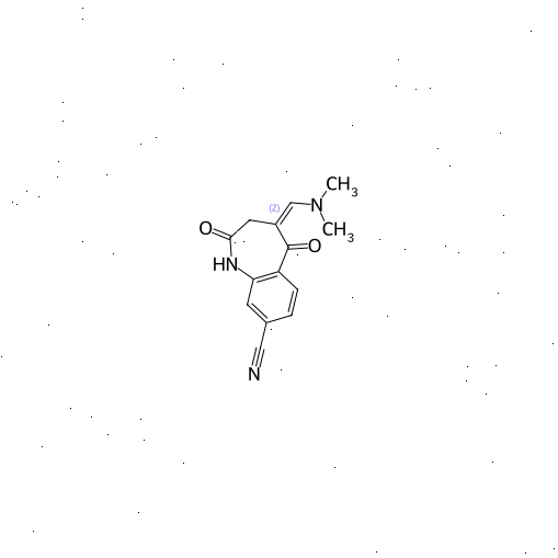 CN(C)/C=C1/CC(=O)Nc2cc(C#N)ccc2C1=O